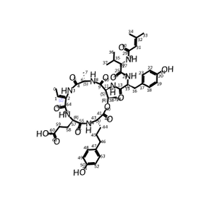 C/C=C1\NC(=O)[C@H](C)NC(=O)[C@@H](NC(=O)[C@H](Cc2ccc(O)cc2)NC(=O)[C@@H](NC(=O)C=C(C)C)C(C)C)[C@@H](C)OC(=O)[C@H](CCCc2ccc(O)cc2)NC(=O)[C@@H](CCC(=O)O)NC1=O